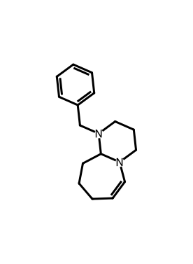 C1=CN2CCCN(Cc3ccccc3)C2CCC1